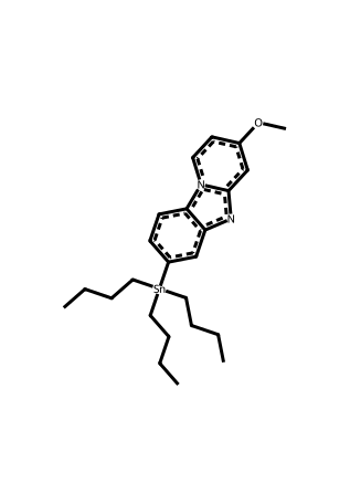 CCC[CH2][Sn]([CH2]CCC)([CH2]CCC)[c]1ccc2c(c1)nc1cc(OC)ccn12